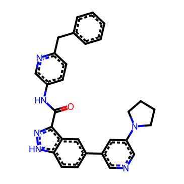 O=C(Nc1ccc(Cc2ccccc2)nc1)c1n[nH]c2ccc(-c3cncc(N4CCCC4)c3)cc12